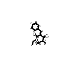 CCOC(=O)C(=Cc1ccccc1)C(=O)C(C)C#N